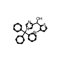 OC(c1cn(C(c2ccccc2)(c2ccccc2)c2ccccc2)cn1)c1sccc1Br